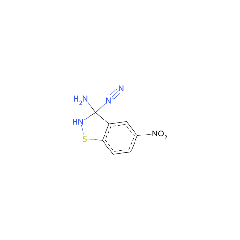 N#[N+]C1(N)NSc2ccc([N+](=O)[O-])cc21